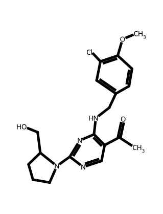 COc1ccc(CNc2nc(N3CCCC3CO)ncc2C(C)=O)cc1Cl